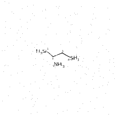 N.[SiH3]CC[SiH3]